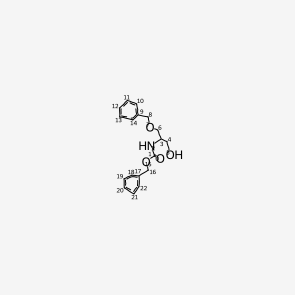 O=C(NC(CO)COCc1ccccc1)OCc1ccccc1